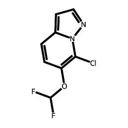 FC(F)Oc1ccc2ccnn2c1Cl